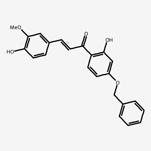 COc1cc(/C=C/C(=O)c2ccc(OCc3ccccc3)cc2O)ccc1O